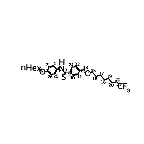 CCCCCCOc1ccc(NC(=S)c2ccc(COCCCCCCCC(F)(F)F)cc2)cc1